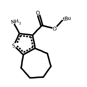 CC(C)(C)OC(=O)c1c(N)sc2c1CCCCC2